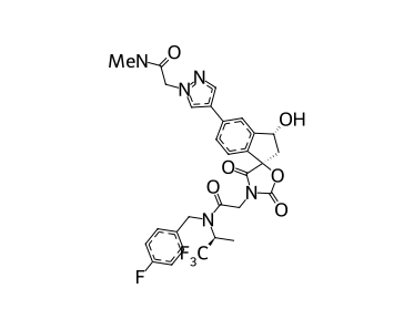 CNC(=O)Cn1cc(-c2ccc3c(c2)[C@H](O)C[C@@]32OC(=O)N(CC(=O)N(Cc3ccc(F)cc3)[C@@H](C)C(F)(F)F)C2=O)cn1